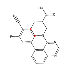 N#Cc1ccc(-c2cccc3ncnc(N4CCCC(C(=O)O)C4)c23)cc1F